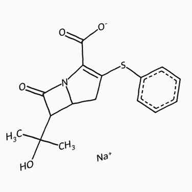 CC(C)(O)C1C(=O)N2C(C(=O)[O-])=C(Sc3ccccc3)CC12.[Na+]